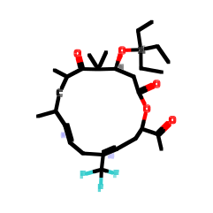 CC[Si](CC)(CC)O[C@H]1CC(=O)OC(C(C)=O)C/C=C(/C(F)(F)F)C/C=C/C(C)CC(C)C(=O)C1(C)C